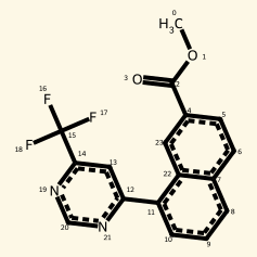 COC(=O)c1ccc2cccc(-c3cc(C(F)(F)F)ncn3)c2c1